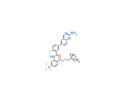 CN(C)CCCOc1ccc(C(F)(F)F)cc1NC(=O)c1cc(-c2ccc3nc(N)ncc3c2)ccc1F